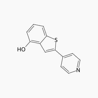 Oc1cccc2sc(-c3ccncc3)cc12